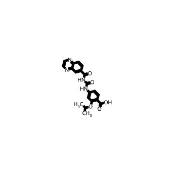 CC(C)Oc1cc(NC(=O)NC(=O)c2ccc3nccnc3c2)ccc1C(=O)O